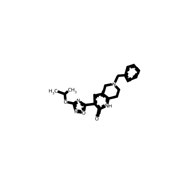 CC(C)Oc1noc(-c2cc3c([nH]c2=O)CCN(Cc2ccccc2)C3)n1